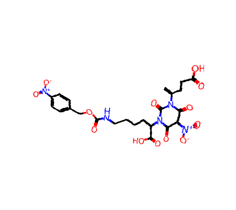 C=C(CCC(=O)O)N1C(=O)C([N+](=O)[O-])C(=O)N(C(CCCCNC(=O)OCc2ccc([N+](=O)[O-])cc2)C(=O)O)C1=O